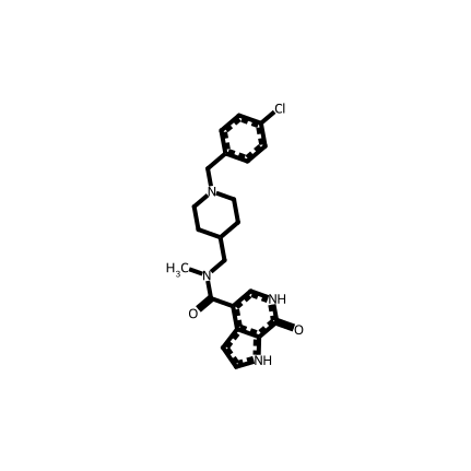 CN(CC1CCN(Cc2ccc(Cl)cc2)CC1)C(=O)c1c[nH]c(=O)c2[nH]ccc12